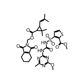 CC(C)=CC1C(C(=O)OCN2C(=O)C3=C(CCCC3)C2=O)C1(C)C.COC(=O)c1sccc1S(=O)(=O)NC(=O)Nc1nc(C)nc(OC)n1